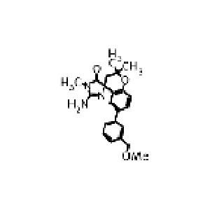 COCc1cccc(-c2ccc3c(c2)C2(CC(C)(C)O3)N=C(N)N(C)C2=O)c1